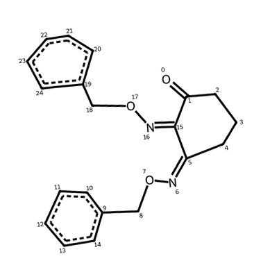 O=C1CCCC(=N/OCc2ccccc2)/C1=N/OCc1ccccc1